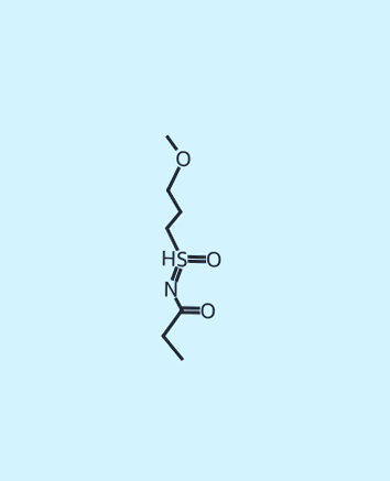 CCC(=O)N=[SH](=O)CCCOC